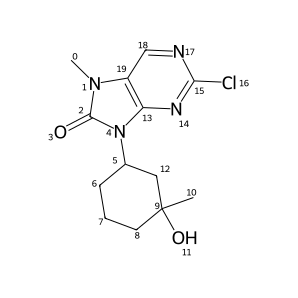 Cn1c(=O)n(C2CCCC(C)(O)C2)c2nc(Cl)ncc21